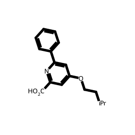 CC(C)CCOc1cc(C(=O)O)nc(-c2ccccc2)c1